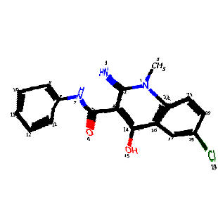 Cn1c(=N)c(C(=O)Nc2ccccc2)c(O)c2cc(Cl)ccc21